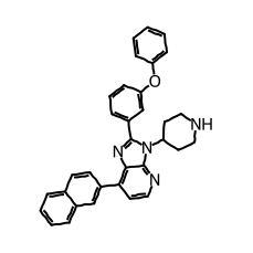 c1ccc(Oc2cccc(-c3nc4c(-c5ccc6ccccc6c5)ccnc4n3C3CCNCC3)c2)cc1